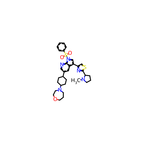 CN1CCCC1c1nc(-c2cn(S(=O)(=O)c3ccccc3)c3ncc(C4CCC(N5CCCOCC5)CC4)cc23)cs1